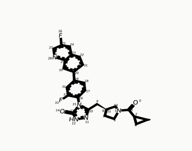 O=C(C1CC1)N1CC[C@@H](Cc2n[nH]c(=O)n2-c2ccc(-c3ccc4cc(F)cnc4c3)cc2F)C1